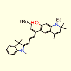 CCN1c2cc(O)c(C(=C\CC(C)(C)C)/C=C/C=C3/N(C)c4ccccc4C3(C)C)cc2C(C)=CC1(C)C